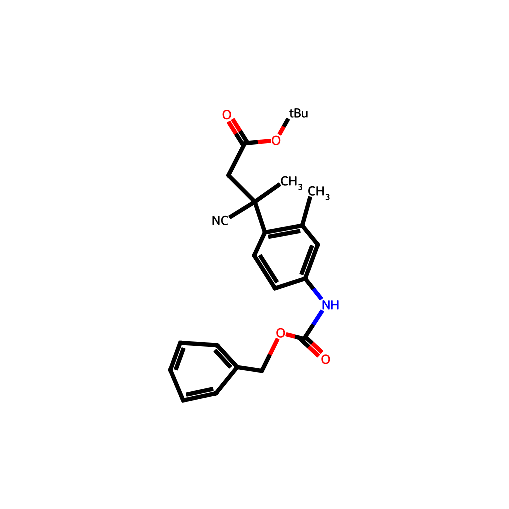 Cc1cc(NC(=O)OCc2ccccc2)ccc1C(C)(C#N)CC(=O)OC(C)(C)C